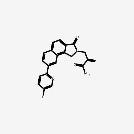 C=C(CN1Cc2c(ccc3ccc(-c4ccc(F)cn4)cc23)C1=O)C(N)=O